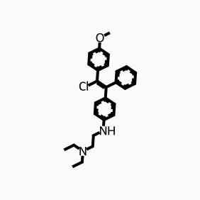 CCN(CC)CCNc1ccc(C(=C(Cl)c2ccc(OC)cc2)c2ccccc2)cc1